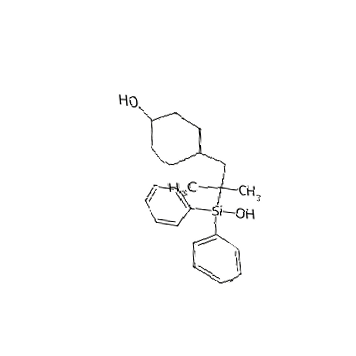 CC(C)(CC1CCC(O)CC1)[Si](O)(c1ccccc1)c1ccccc1